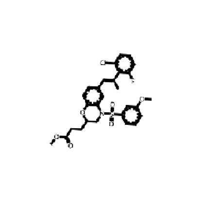 COC(=O)CCC1CN(S(=O)(=O)c2cccc(OC)c2)c2cc(C=C(C)c3c(F)cccc3Cl)ccc2O1